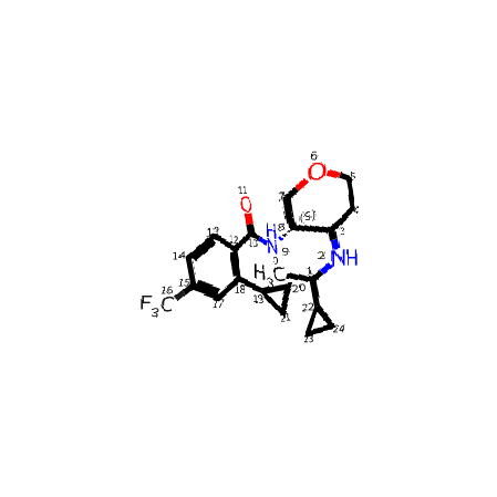 CC(NC1CCOC[C@H]1NC(=O)c1ccc(C(F)(F)F)cc1C1CC1)C1CC1